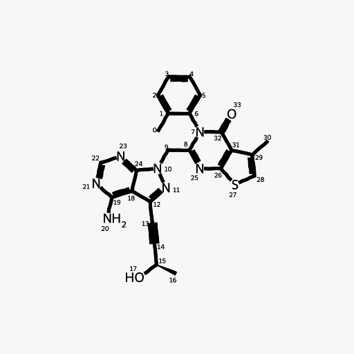 Cc1ccccc1-n1c(Cn2nc(C#C[C@@H](C)O)c3c(N)ncnc32)nc2scc(C)c2c1=O